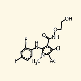 CC(=O)c1c(Cl)c(C(=O)NOCCO)c(Nc2ccc(I)cc2F)n1C